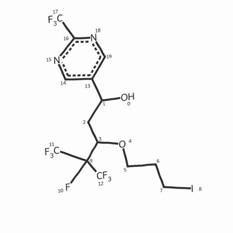 OC(CC(OCCCI)C(F)(C(F)(F)F)C(F)(F)F)c1cnc(C(F)(F)F)nc1